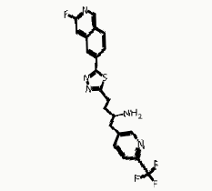 N[C@H](CCc1nnc(-c2ccc3cnc(F)cc3c2)s1)Cc1ccc(C(F)(F)F)nc1